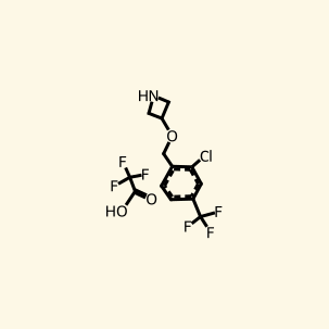 FC(F)(F)c1ccc(COC2CNC2)c(Cl)c1.O=C(O)C(F)(F)F